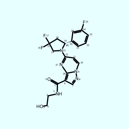 O=C(NCCO)c1cnn2ccc(N3CC(F)(F)C[C@@H]3c3cccc(F)c3)nc12